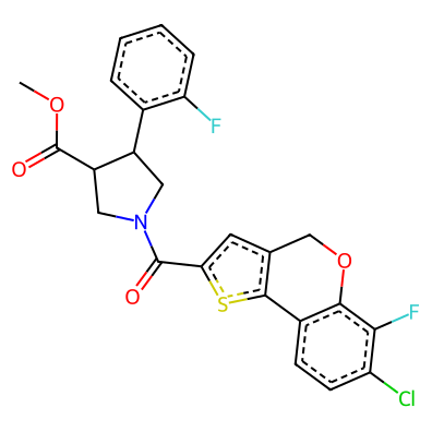 COC(=O)C1CN(C(=O)c2cc3c(s2)-c2ccc(Cl)c(F)c2OC3)CC1c1ccccc1F